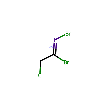 ClC/C(Br)=I/Br